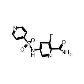 NC(=O)c1ncc(NS(=O)(=O)c2ccncc2)cc1F